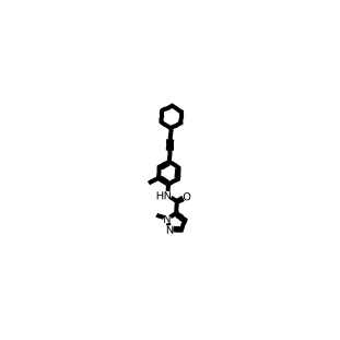 Cc1cc(C#CC2CCCCC2)ccc1NC(=O)c1ccnn1C